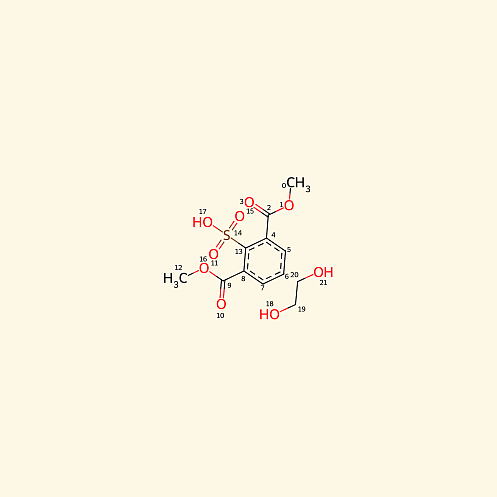 COC(=O)c1cccc(C(=O)OC)c1S(=O)(=O)O.OCCO